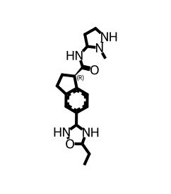 CCC1NC(c2ccc3c(c2)CC[C@H]3C(=O)NC2CCNN2C)NO1